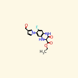 CCOC(=O)C1Nc2cc(-n3ccc(C=O)c3)c(F)cc2NC1=O